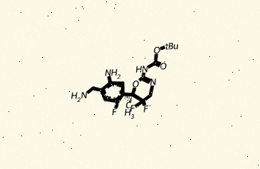 CC(C)(C)OC(=O)NC1=NCC(F)(F)[C@@](C)(c2cc(N)c(CN)cc2F)O1